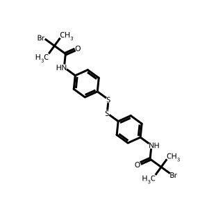 CC(C)(Br)C(=O)Nc1ccc(SSc2ccc(NC(=O)C(C)(C)Br)cc2)cc1